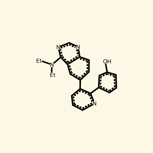 CCN(CC)c1ncnc2ccc(-c3cccnc3-c3cccc(O)c3)cc12